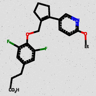 CCOc1ccc(C2=C(COc3c(F)cc(CCC(=O)O)cc3F)CCC2)cn1